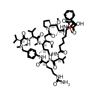 CC[C@H](C)[C@@H]([C@@H](CC(=O)N1CCC[C@H]1[C@H](OC)[C@@H](C)C(=O)N[C@H](C)[C@@H](O)c1ccccc1)OC)N(C)C(=O)[C@@H](NC(=O)[C@H](C(C)C)[N+](C)(C)Cc1ccc(NC(=O)[C@H](CCCNC(N)=O)NC(=O)[C@@H](NC(=O)CCCCCN2C(=O)C=CC2=O)C(C)C)cc1)C(C)C